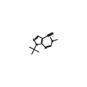 CN(C)/C=N\c1c(C#N)cnn1C(C)(C)C